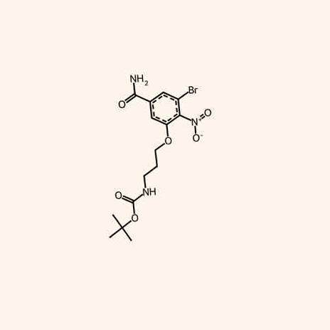 CC(C)(C)OC(=O)NCCCOc1cc(C(N)=O)cc(Br)c1[N+](=O)[O-]